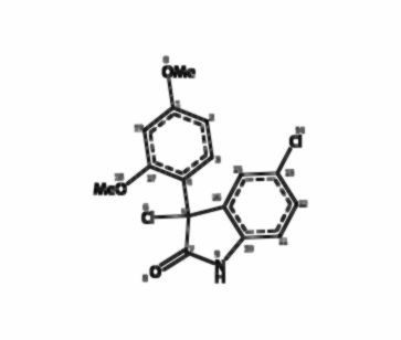 COc1ccc(C2(Cl)C(=O)Nc3ccc(Cl)cc32)c(OC)c1